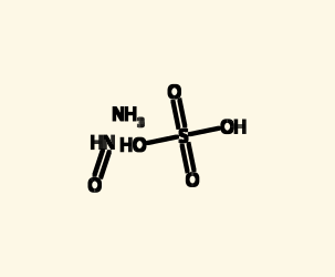 N.N=O.O=S(=O)(O)O